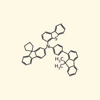 CC1(C)c2ccccc2-c2cccc(-c3ccc(N(c4ccc5c(c4)C4(CCCC4)c4ccccc4-5)c4cccc5c4sc4ccccc45)cc3)c21